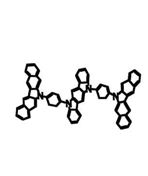 C1=C(n2c3cc4ccccc4cc3c3cc4ccccc4cc32)CCC(n2c3ccccc3c3cc4c(cc32)c2ccccc2n4C2=CC=C(n3c4cc5ccccc5cc4c4cc5ccccc5cc43)CC2)=C1